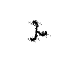 CC(C)(CN)COCC(C)(C)CNC(=O)CCOCCN(CCOCCC(=O)NCC(C)(C)COCC(C)(C)CN)CCOCCC(=O)NCC(C)(C)COCC(C)(C)CN